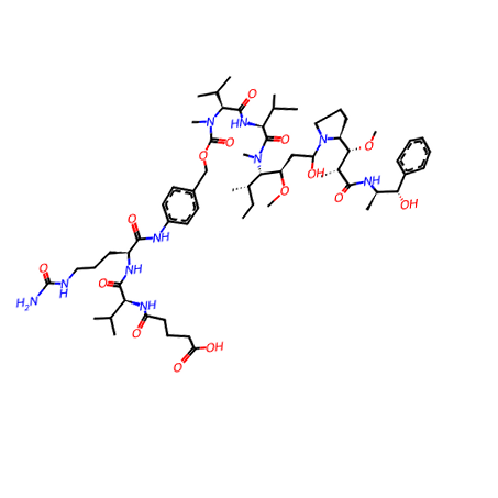 CC[C@H](C)[C@@H]([C@@H](CC(O)N1CCC[C@H]1[C@H](OC)[C@@H](C)C(=O)N[C@H](C)[C@@H](O)c1ccccc1)OC)N(C)C(=O)[C@@H](NC(=O)[C@H](C(C)C)N(C)C(=O)OCc1ccc(NC(=O)[C@H](CCCNC(N)=O)NC(=O)[C@@H](NC(=O)CCCC(=O)O)C(C)C)cc1)C(C)C